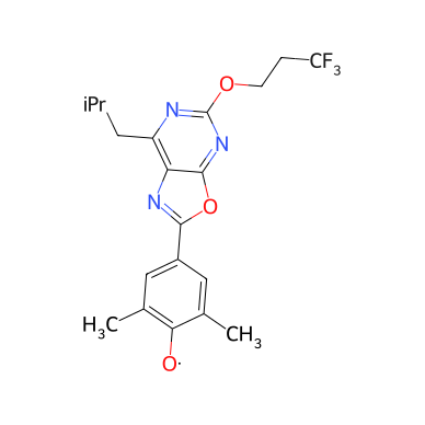 Cc1cc(-c2nc3c(CC(C)C)nc(OCCC(F)(F)F)nc3o2)cc(C)c1[O]